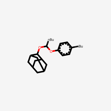 CCCCC(Oc1ccc(C(C)CC)cc1)OC1C2CC3CC(C2)CC1C3